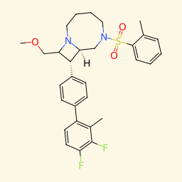 COCC1[C@@H](c2ccc(-c3ccc(F)c(F)c3C)cc2)[C@@H]2CN(S(=O)(=O)c3ccccc3C)CCCCN12